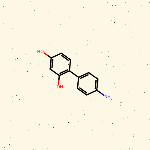 Nc1ccc(-c2ccc(O)cc2O)cc1